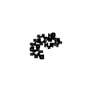 Nc1ccsc1C(=O)NCC1CCN(CC2COc3ccc(Cl)cc3O2)CC1